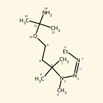 CC/N=N\N(C)C(C)(C)CCOC(C)(C)N